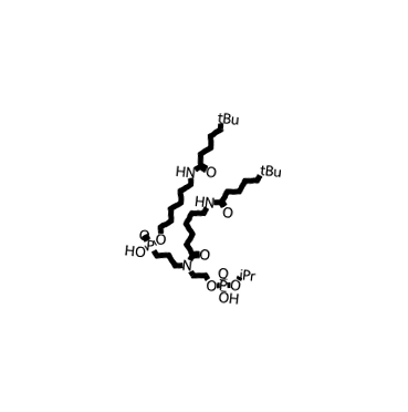 CC(C)OP(=O)(O)OCCN(CCCP(=O)(O)OCCCCCCNC(=O)CCCCC(C)(C)C)C(=O)CCCCCNC(=O)CCCCC(C)(C)C